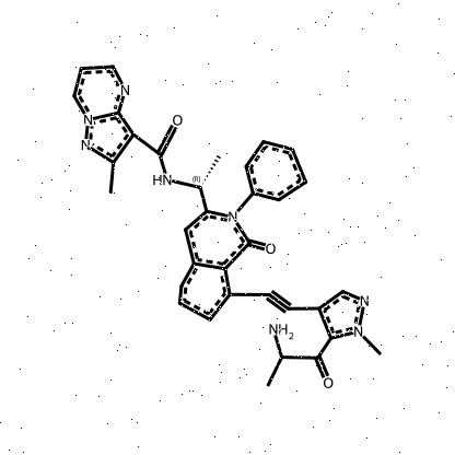 Cc1nn2cccnc2c1C(=O)N[C@H](C)c1cc2cccc(C#Cc3cnn(C)c3C(=O)C(C)N)c2c(=O)n1-c1ccccc1